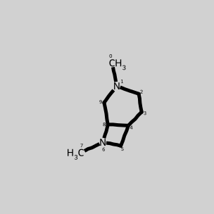 CN1CCC2CN(C)C2C1